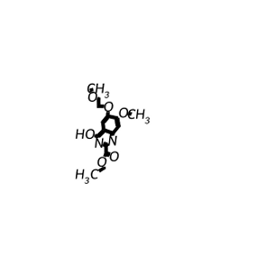 CCOC(=O)c1nc(O)c2cc(OCCOC)c(OC)cc2n1